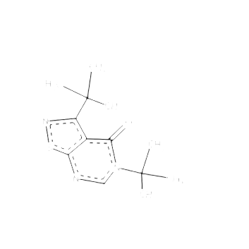 CC(C)(C)c1nsc2ncn(C(C)(C)C)c(=O)c12